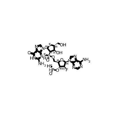 Nc1nc2c(ncn2[C@@H]2S[C@H](CO)[C@@H](O)[C@H]2P(=O)(S)OC[C@H]2O[C@@H](n3cnc4c(N)ncnc43)[C@@H](F)[C@@H]2O[PH](=O)S)c(=O)[nH]1